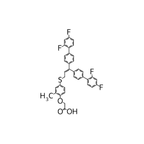 Cc1cc(SCC=C(c2ccc(-c3ccc(F)cc3F)cc2)c2ccc(-c3ccc(F)cc3F)cc2)ccc1OCC(=O)O